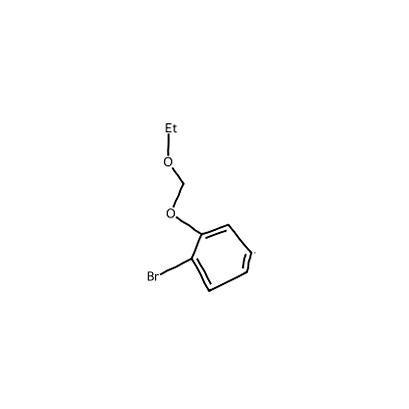 CCOCOc1c[c]ccc1Br